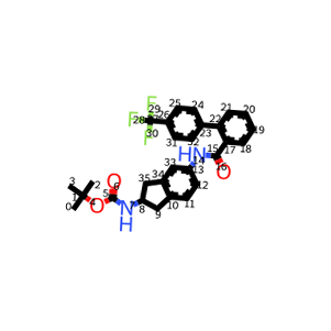 CC(C)(C)OC(=O)NC1Cc2ccc(NC(=O)c3ccccc3-c3ccc(C(F)(F)F)cc3)cc2C1